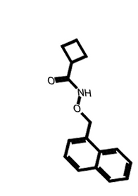 O=C(NOCc1cccc2ccccc12)C1CCC1